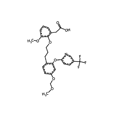 COCOc1ccc(CCCOc2c(CC(=O)O)cccc2OC)c(Oc2ccc(C(F)(F)F)cn2)c1